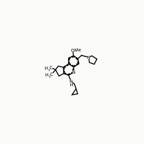 COc1cc2c3c(c(NCC4CC4)nc2cc1CN1CCCC1)CC(C)(C)C3